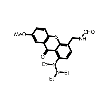 CCN(CC)N(CC)c1ccc(CNC=O)c2sc3ccc(OC)cc3c(=O)c12